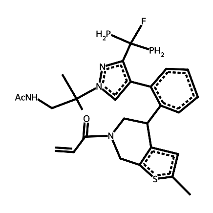 C=CC(=O)N1Cc2sc(C)cc2C(c2ccccc2-c2cn(C(C)(C)CNC(C)=O)nc2C(F)(P)P)C1